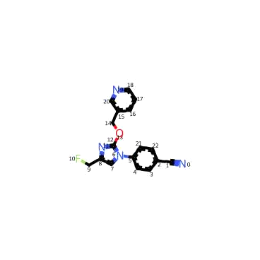 N#Cc1ccc(-n2cc(CF)nc2OCc2cccnc2)cc1